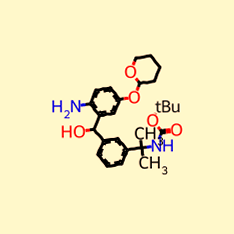 CC(C)(C)OC(=O)NC(C)(C)c1cccc(C(O)c2cc(OC3CCCCO3)ccc2N)c1